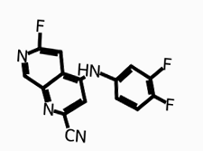 N#Cc1cc(Nc2ccc(F)c(F)c2)c2cc(F)ncc2n1